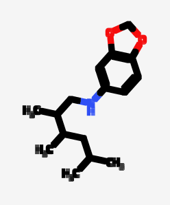 CC(C)CC(C)C(C)CNc1ccc2c(c1)OCO2